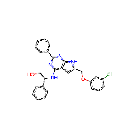 OC[C@@H](Nc1nc(-c2ccccc2)nc2[nH]c(COc3cccc(Cl)c3)cc12)c1ccccc1